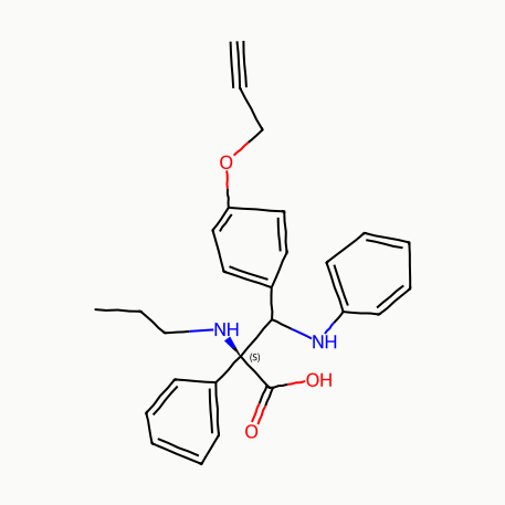 C#CCOc1ccc(C(Nc2ccccc2)[C@](NCCC)(C(=O)O)c2ccccc2)cc1